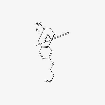 COCCOc1ccc2c(c1)[C@]13CCN(C)[C@H](C2)[C@@H]1CCC(=O)C3